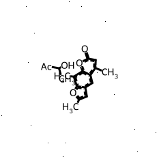 CC(=O)C(C)O.Cc1cc2cc3c(C)cc(=O)oc3c(C)c2o1